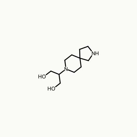 OCC(CO)N1CCC2(CCNC2)CC1